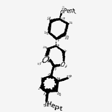 CCCCCCCc1ccc(C2OCC([C@H]3CC[C@H](CCCCC)CC3)CO2)c(C)c1